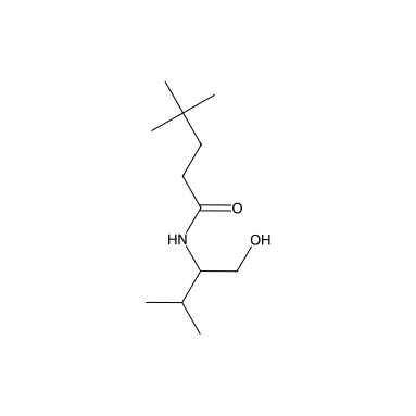 CC(C)C(CO)NC(=O)CCC(C)(C)C